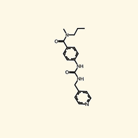 CCCN(C)C(=O)c1ccc(NC(=O)NCc2ccncc2)cc1